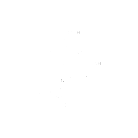 CCCc1c(C(=O)C(N)=O)c2c(OCC(=O)O)cccc2n1C1C(=O)C1=O